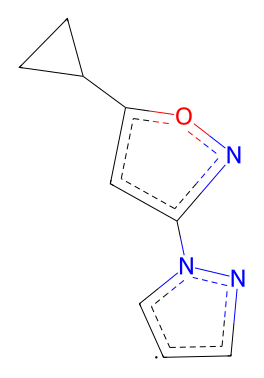 [c]1cnn(-c2cc(C3CC3)on2)c1